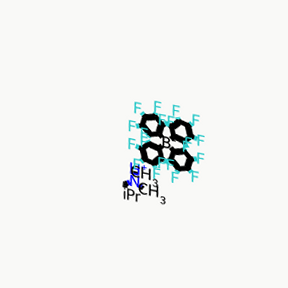 CC(C)C[NH+](C)C.Fc1c(F)c(F)c([B-](c2c(F)c(F)c(F)c(F)c2F)(c2c(F)c(F)c(F)c(F)c2F)c2c(F)c(F)c(F)c(F)c2F)c(F)c1F